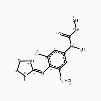 CN(C(=O)NS)c1cc(Cl)c(N=C2NCCN2)c(Cl)c1.Cl